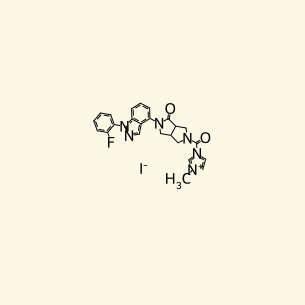 C[n+]1ccn(C(=O)N2CC3CN(c4cccc5c4cnn5-c4ccccc4F)C(=O)C3C2)c1.[I-]